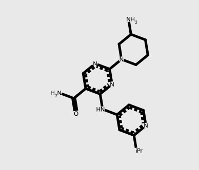 CC(C)c1cc(Nc2nc(N3CCCC(N)C3)ncc2C(N)=O)ccn1